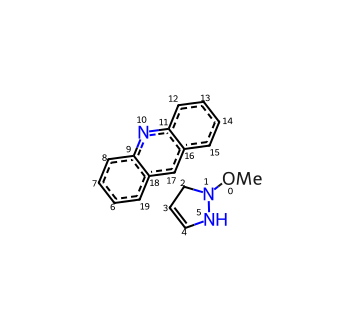 CON1CC=CN1.c1ccc2nc3ccccc3cc2c1